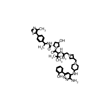 Cc1ncsc1-c1ccc(C(C)NC(=O)[C@@H]2C[C@@H](O)CN2C(=O)C(NC(=O)CN2CC(CN3CCC(Nc4cc(-c5ccccc5O)nnc4N)CC3)C2)C(C)(C)C)cc1